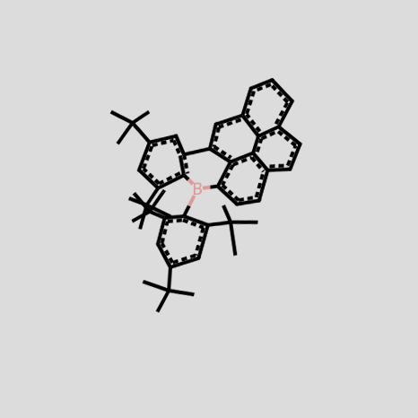 CC(C)(C)c1cc2c(c(C(C)(C)C)c1)B(c1c(C(C)(C)C)cc(C(C)(C)C)cc1C(C)(C)C)c1ccc3ccc4cccc5cc-2c1c3c45